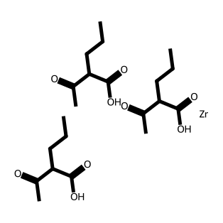 CCCC(C(C)=O)C(=O)O.CCCC(C(C)=O)C(=O)O.CCCC(C(C)=O)C(=O)O.[Zr]